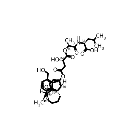 CC(C)C[C@H](NC(=O)[C@H](C)OC(=O)[C@@H](O)CC(=O)OC1=CC[C@@]2(O)[C@H]3Cc4ccc(CO)c5c4[C@@]2(CCCN3C)[C@H]1O5)C(=O)O